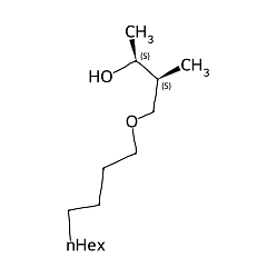 CCCCCCCCCCOC[C@H](C)[C@H](C)O